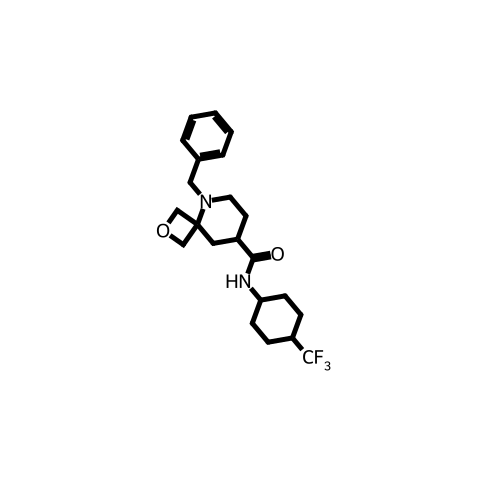 O=C(NC1CCC(C(F)(F)F)CC1)C1CCN(Cc2ccccc2)C2(COC2)C1